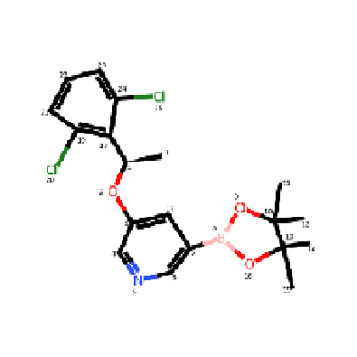 C[C@@H](Oc1cncc(B2OC(C)(C)C(C)(C)O2)c1)c1c(Cl)cccc1Cl